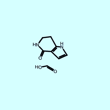 O=C1NCCc2[nH]ccc21.O=CO